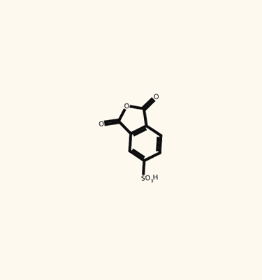 O=C1OC(=O)c2cc(S(=O)(=O)O)ccc21